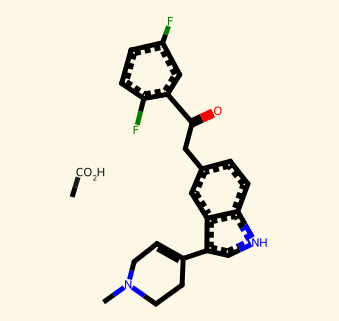 CC(=O)O.CN1CC=C(c2c[nH]c3ccc(CC(=O)c4cc(F)ccc4F)cc23)CC1